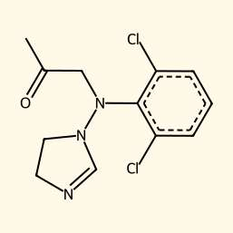 CC(=O)CN(c1c(Cl)cccc1Cl)N1C=NCC1